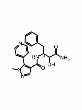 Cn1ncc(C(=O)N[C@@H](Cc2ccccc2)C(O)C(N)=O)c1-c1ccncc1